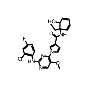 CCC1(NC(=O)c2ccn(-c3nc(Nc4ccc(F)cc4Cl)ncc3OC)c2)C=CC=CC1O